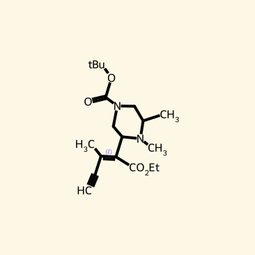 C#C/C(C)=C(\C(=O)OCC)C1CN(C(=O)OC(C)(C)C)CC(C)N1C